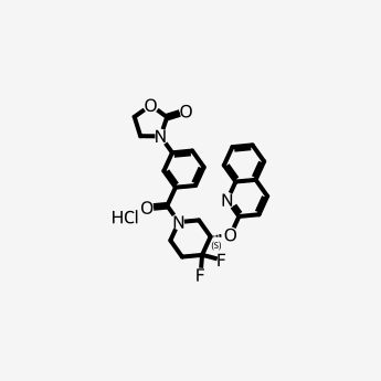 Cl.O=C(c1cccc(N2CCOC2=O)c1)N1CCC(F)(F)[C@@H](Oc2ccc3ccccc3n2)C1